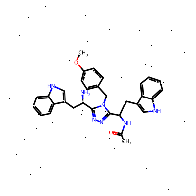 COc1ccc(Cn2c(C(Cc3c[nH]c4ccccc34)NC(C)=O)nnc2[C@H](N)Cc2c[nH]c3ccccc23)cc1